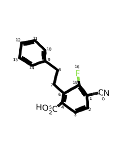 N#Cc1ccc(C(=O)O)c(CCc2ccccc2)c1F